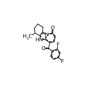 CC1CCCc2c1[nH]c1c(C(=O)c3ccc(F)cc3F)ccc(=O)n21